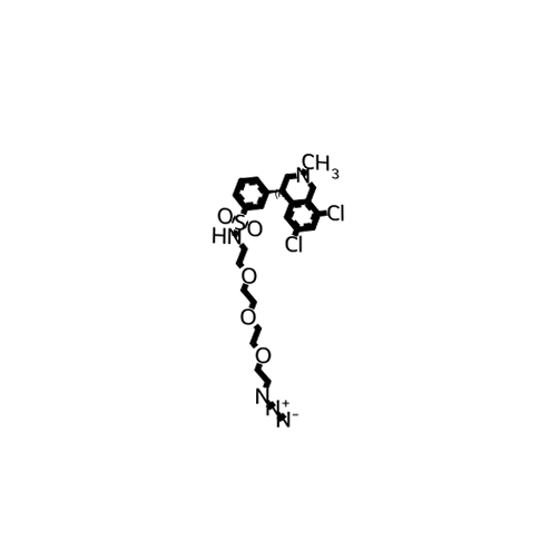 CN1Cc2c(Cl)cc(Cl)cc2[C@@H](c2cccc(S(=O)(=O)NCCOCCOCCOCCN=[N+]=[N-])c2)C1